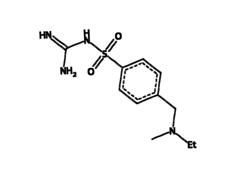 CCN(C)Cc1ccc(S(=O)(=O)NC(=N)N)cc1